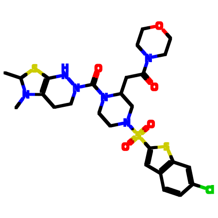 CC1SC2=C(CCN(C(=O)N3CCN(S(=O)(=O)c4cc5ccc(Cl)cc5s4)CC3CC(=O)N3CCOCC3)N2)N1C